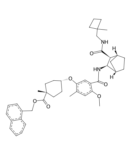 COc1cc(C)c(O[C@H]2CC[C@@](C)(C(=O)OCc3cccc4ccccc34)CC2)cc1C(=O)N[C@@H]1[C@H]2CC[C@H](C2)[C@@H]1C(=O)NCC1(C)CCC1